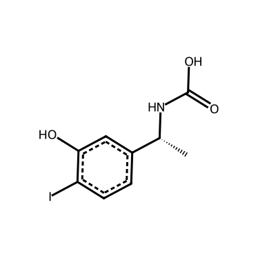 C[C@@H](NC(=O)O)c1ccc(I)c(O)c1